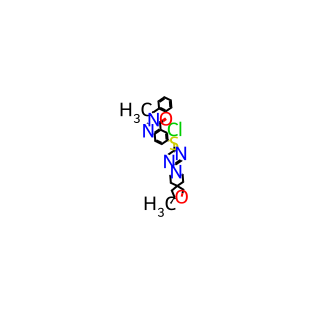 CC(c1ccccc1)n1cnc2ccc(Sc3cnc(N4CCC5(CC4)CO[C@@H](C)C5)cn3)c(Cl)c2c1=O